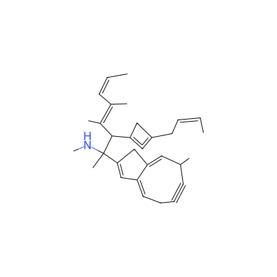 C/C=C\CC1=C=C(C(/C(C)=C(C)/C=C\C)C(C)(NC)C2=CC3=C/CC#CC(C)/C=C\3C2)C1